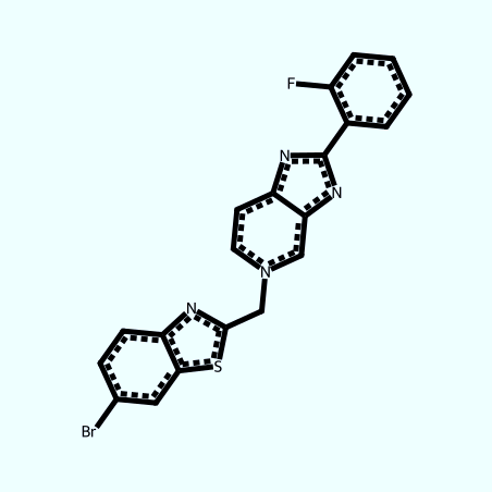 Fc1ccccc1-c1nc2ccn(Cc3nc4ccc(Br)cc4s3)cc-2n1